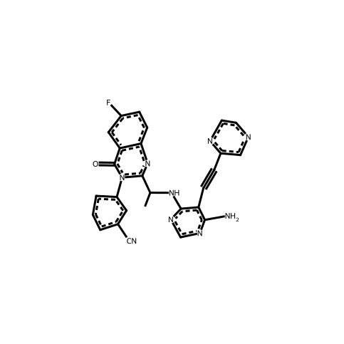 CC(Nc1ncnc(N)c1C#Cc1cnccn1)c1nc2ccc(F)cc2c(=O)n1-c1cccc(C#N)c1